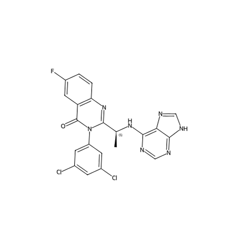 C[C@H](Nc1ncnc2[nH]cnc12)c1nc2ccc(F)cc2c(=O)n1-c1cc(Cl)cc(Cl)c1